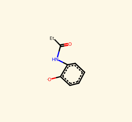 CCC(=O)Nc1ccccc1[O]